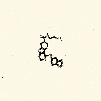 CN(CCN)C(=O)[C@H]1CCc2c(sc3ncnc(Nc4ccc5nnsc5c4)c23)C1